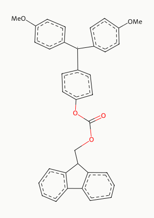 COc1ccc([C](c2ccc(OC)cc2)c2ccc(OC(=O)OCC3c4ccccc4-c4ccccc43)cc2)cc1